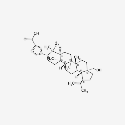 C=C(C)[C@@H]1CC[C@]2(CO)CC[C@]3(C)C(CC[C@@H]4[C@@]5(C)CC=C(c6csc(C(=O)O)c6)C(C)(C)[C@@H]5CC[C@]43C)[C@@H]12